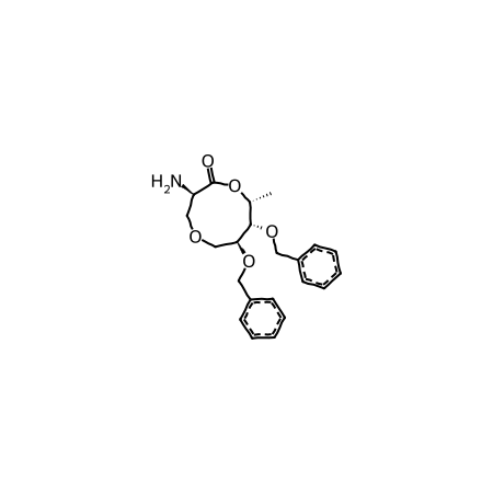 C[C@H]1OC(=O)[C@H](N)COC[C@H](OCc2ccccc2)[C@H]1OCc1ccccc1